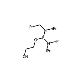 CC(C)CN(C(C)C)P(OCCC#N)N(C(C)C)C(C)C